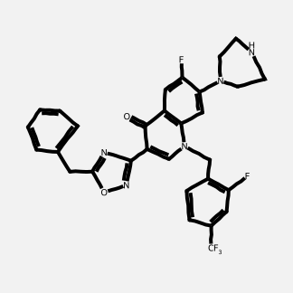 O=c1c(-c2noc(Cc3ccccc3)n2)cn(Cc2ccc(C(F)(F)F)cc2F)c2cc(N3CCNCC3)c(F)cc12